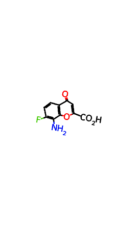 Nc1c(F)ccc2c(=O)cc(C(=O)O)oc12